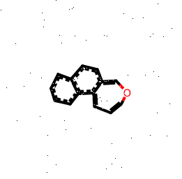 C1=COC=c2ccc3ccccc3c2=C1